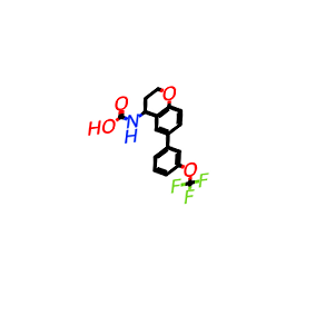 O=C(O)NC1CCOc2ccc(-c3cccc(OC(F)(F)F)c3)cc21